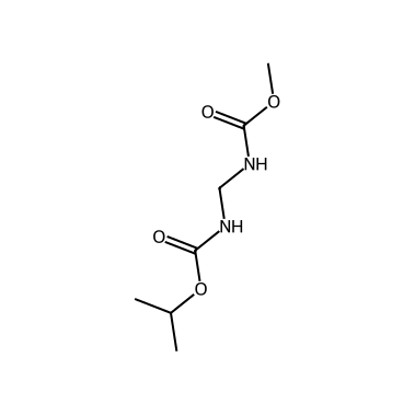 COC(=O)NCNC(=O)OC(C)C